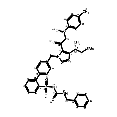 CSC[C@@H](C)c1ncn(Cc2ccc(-c3ccccc3S(=O)(=O)NC(=O)NCc3ccccc3)cc2)c1C(=O)C[S+]([O-])c1ccc(C)cc1